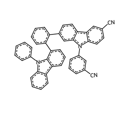 N#Cc1cccc(-n2c3ccc(C#N)cc3c3ccc(-c4ccccc4-c4cccc5c6ccccc6n(-c6ccccc6)c45)cc32)c1